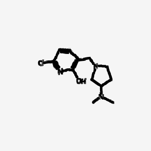 CN(C)C1CCN(Cc2ccc(Cl)nc2O)C1